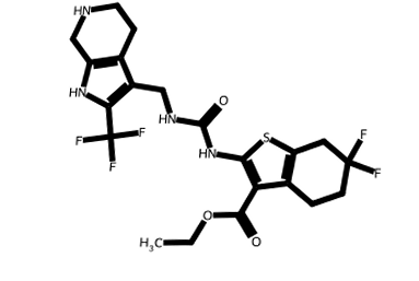 CCOC(=O)c1c(NC(=O)NCc2c(C(F)(F)F)[nH]c3c2CCNC3)sc2c1CCC(F)(F)C2